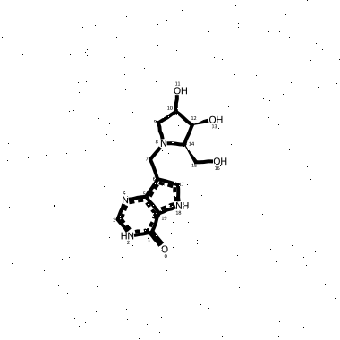 O=c1[nH]cnc2c(CN3CC(O)[C@@H](O)[C@H]3CO)c[nH]c12